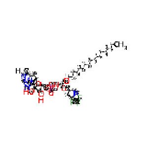 CCCCCCCCCCCCCCCCCCOC[C@H](COP(=O)(O)OC[C@H]1O[C@@](C#N)(c2ccc3c(C)ncnn23)[C@H](O)[C@@H]1O)OCc1ccc(C(F)(F)F)nc1